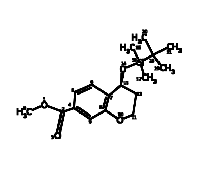 COC(=O)c1ccc2c(c1)OCC[C@@H]2O[Si](C)(C)C(C)(C)C